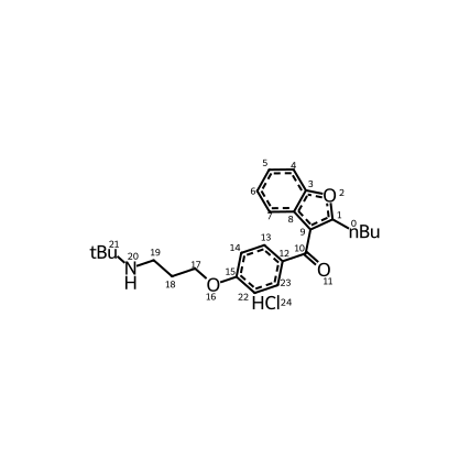 CCCCc1oc2ccccc2c1C(=O)c1ccc(OCCCNC(C)(C)C)cc1.Cl